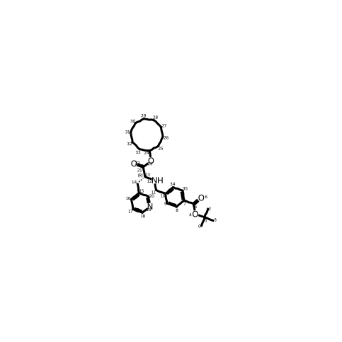 CC(C)(C)OC(=O)c1ccc(CN[C@H](Cc2cccnc2)C(=O)OC2CCCCCCCCC2)cc1